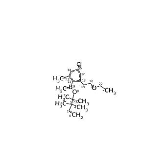 C=CC(C)(C)C(C)(C)OB(C)c1c(C)cc(Cl)cc1CCOCC